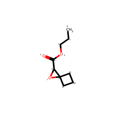 CCCOC(=O)C1OC12CCC2